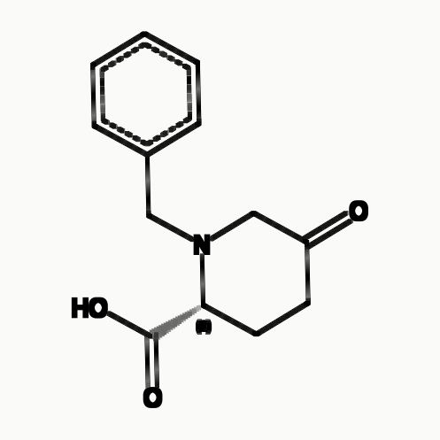 O=C1CC[C@H](C(=O)O)N(Cc2ccccc2)C1